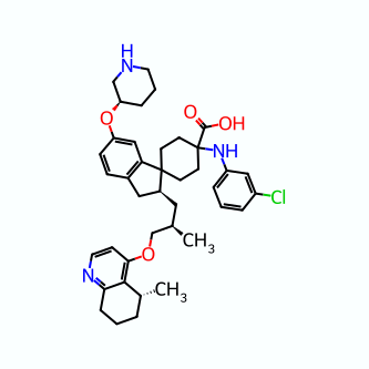 C[C@@H](COc1ccnc2c1[C@H](C)CCC2)C[C@H]1Cc2ccc(O[C@@H]3CCCNC3)cc2C12CCC(Nc1cccc(Cl)c1)(C(=O)O)CC2